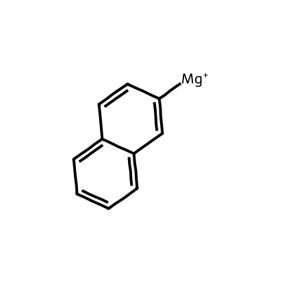 [Mg+][c]1ccc2ccccc2c1